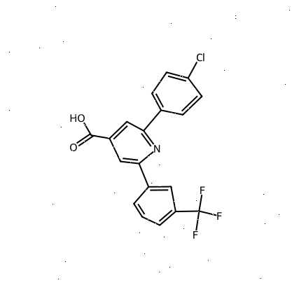 O=C(O)c1cc(-c2ccc(Cl)cc2)nc(-c2cccc(C(F)(F)F)c2)c1